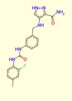 Cc1ccc(NC(=O)Nc2cccc(CNc3c[nH]nc3C(N)=O)c2)c(F)c1